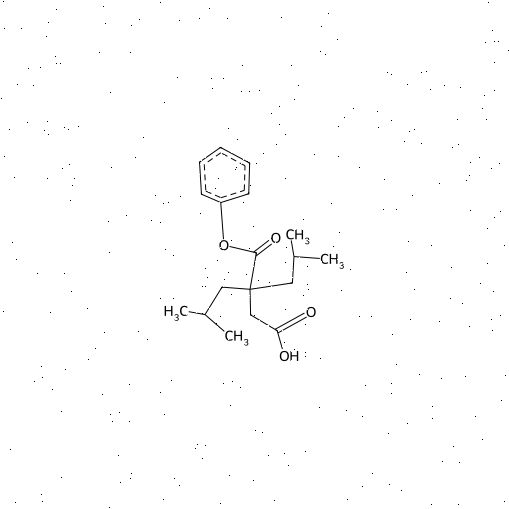 CC(C)CC(CC(=O)O)(CC(C)C)C(=O)Oc1ccccc1